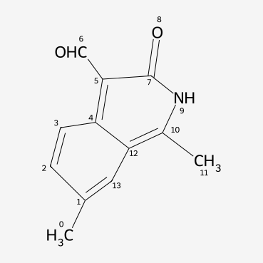 Cc1ccc2c(C=O)c(=O)[nH]c(C)c2c1